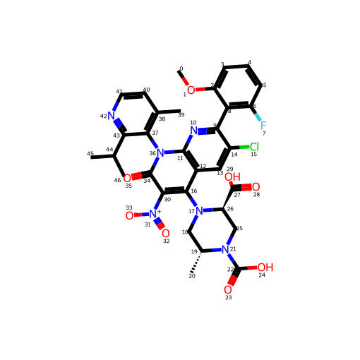 COc1cccc(F)c1-c1nc2c(cc1Cl)c(N1C[C@@H](C)N(C(=O)O)C[C@@H]1C(=O)O)c([N+](=O)[O-])c(=O)n2-c1c(C)ccnc1C(C)C